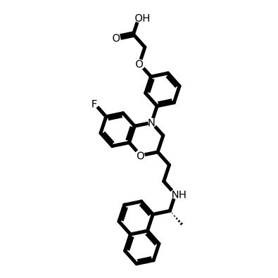 C[C@@H](NCCC1CN(c2cccc(OCC(=O)O)c2)c2cc(F)ccc2O1)c1cccc2ccccc12